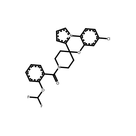 O=C(c1ccccc1OC(F)F)N1CCC2(CC1)Oc1cc(Cl)ccc1-n1cccc12